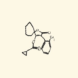 Cc1ccccc1C1=C(OC(=O)C2CC2)C2(CCCCC2)OC1=O